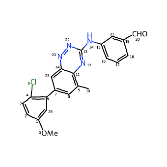 COc1ccc(Cl)c(-c2cc(C)c3nc(Nc4cccc(C=O)c4)nnc3c2)c1